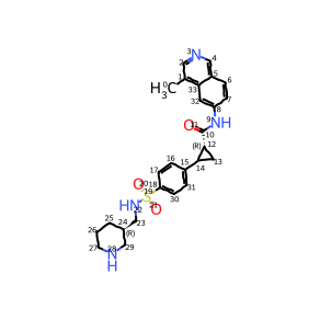 Cc1cncc2ccc(NC(=O)[C@@H]3CC3c3ccc(S(=O)(=O)NC[C@@H]4CCCNC4)cc3)cc12